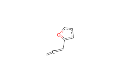 C=C=Cc1ccco1